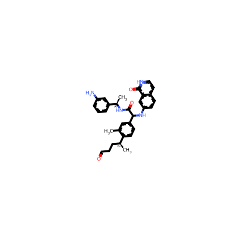 Cc1cc(C(Nc2ccc3cc[nH]c(=O)c3c2)C(=O)N[C@H](C)c2cccc(N)c2)ccc1[C@@H](C)CCC=O